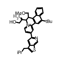 C=C(CO)C1C(COC)c2c(cc(C(C)(C)C)c3ccccc23)-c2cc(-c3cc4c(CC(C)C)csc4cn3)cc[n+]21